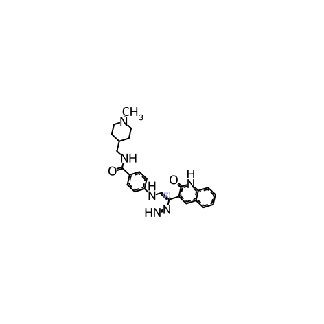 CN1CCC(CNC(=O)c2ccc(N/C=C(\N=N)c3cc4ccccc4[nH]c3=O)cc2)CC1